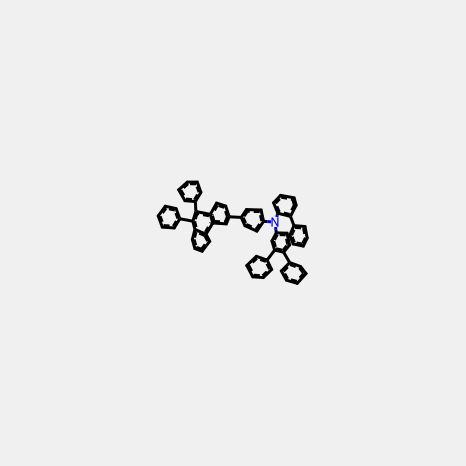 c1ccc(-c2ccc(N(c3ccc(-c4ccc5c(-c6ccccc6)c(-c6ccccc6)c6ccccc6c5c4)cc3)c3ccccc3-c3ccccc3)cc2-c2ccccc2)cc1